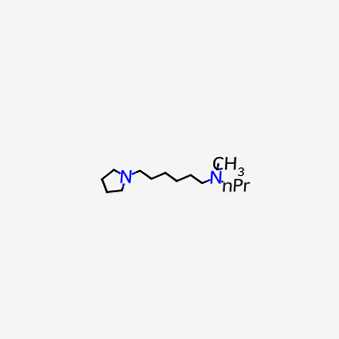 CCCN(C)CCCCCCN1CCCC1